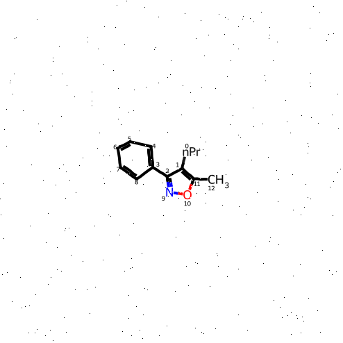 CCCc1c(-c2ccccc2)noc1C